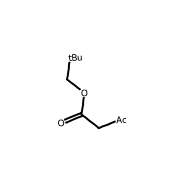 CC(=O)CC(=O)OCC(C)(C)C